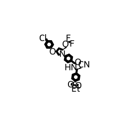 CCS(=O)(=O)c1ccc([C@H](CC#N)NC(=O)c2ccc(N3C[C@@H](Oc4ccc(Cl)cc4)C[C@H]3COC(F)F)cc2)cc1